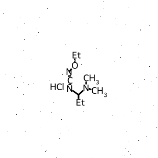 CCON=C=NC(CC)N(C)C.Cl